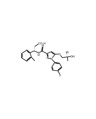 Cc1ccccc1[C@H](CC(=O)O)NC(=O)c1cc(OC[C@](C)(O)C(C)C)n(-c2ccc(F)cc2)n1